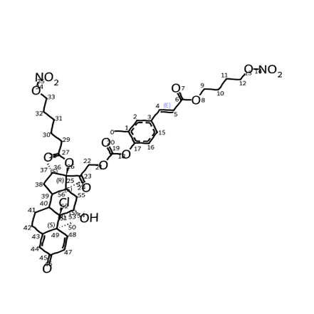 Cc1cc(/C=C/C(=O)OCCCCO[N+](=O)[O-])ccc1OC(=O)OCC(=O)[C@@]1(OC(=O)CCCCCO[N+](=O)[O-])[C@@H](C)CC2C3CCC4=CC(=O)C=C[C@]4(C)[C@@]3(Cl)[C@@H](O)C[C@@]21C